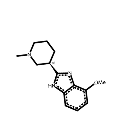 COc1cccc2[nH]c([C@@H]3CCCN(C)C3)nc12